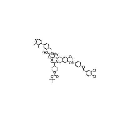 Cc1nccc(-c2ccc(C[C@H](NC(=O)[C@@H]3Cc4cc5c(cc4CN3C(=O)C3CCN(C(=O)OC(C)(C)C)CC3)O[C@@H](c3ccc(OCc4ccc(Cl)c(Cl)c4)cc3)CO5)C(=O)O)cc2)c1C